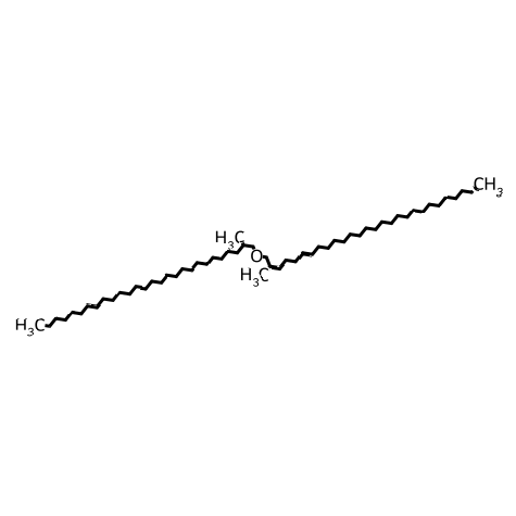 CCCCCCCCCCCCCCCCCCCCCCCCCCC(C)COCC(C)CCCCCCCCCCCCCCCCCCCCCCCCCC